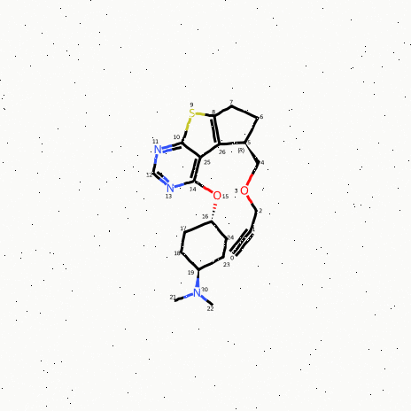 C#CCOC[C@@H]1CCc2sc3ncnc(O[C@H]4CC[C@H](N(C)C)CC4)c3c21